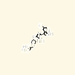 OC[C@@H](O)CN1CCC[C@H](Nc2nc(-c3c[nH]c4ncc(Cl)cc34)ncc2F)C1